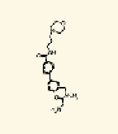 CN(Cc1cccc(-c2ccc(C(=O)NCCCN3CCOCC3)cc2)c1)C(=O)CN